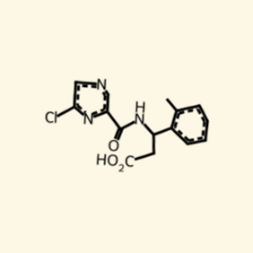 Cc1ccccc1C(CC(=O)O)NC(=O)c1cncc(Cl)n1